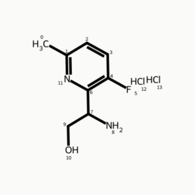 Cc1ccc(F)c(C(N)CO)n1.Cl.Cl